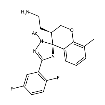 CC(=O)N1N=C(c2cc(F)ccc2F)S[C@@]12c1cccc(C)c1OC[C@@H]2CCN